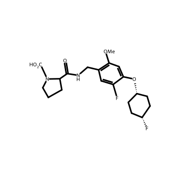 COc1cc(O[C@H]2CC[C@@H](F)CC2)c(F)cc1CNC(=O)C1CCCN1C(=O)O